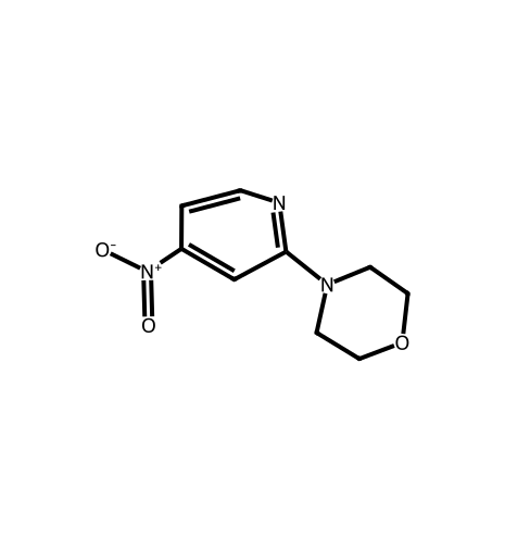 O=[N+]([O-])c1ccnc(N2CCOCC2)c1